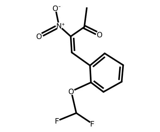 CC(=O)/C(=C\c1ccccc1OC(F)F)[N+](=O)[O-]